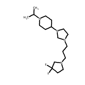 CC(C)N1CCC(N2CCN(CCCN3CCC(F)(F)C3)C2)CC1